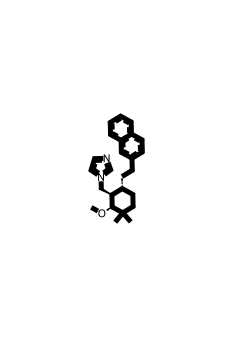 CO[C@@H]1[C@@H](Cn2ccnc2)[C@H](CCc2ccc3ccccc3c2)CCC1(C)C